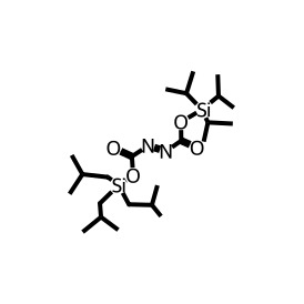 CC(C)C[Si](CC(C)C)(CC(C)C)OC(=O)/N=N/C(=O)O[Si](C(C)C)(C(C)C)C(C)C